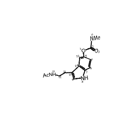 CNC(=O)Oc1ccc2[nH]cc(CCNC(C)=O)c2c1